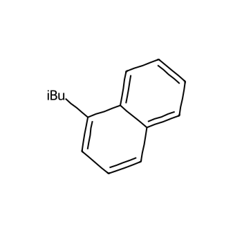 [CH2]C(CC)c1cccc2ccccc12